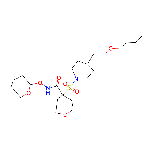 CCCCOCCC1CCN(S(=O)(=O)C2(C(=O)NOC3CCCCO3)CCOCC2)CC1